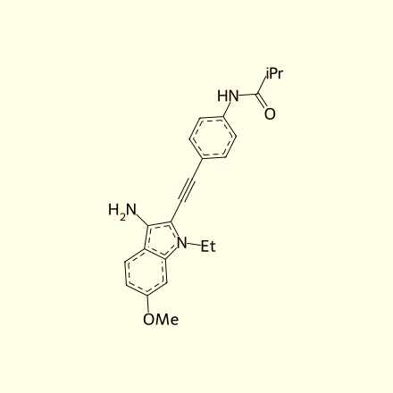 CCn1c(C#Cc2ccc(NC(=O)C(C)C)cc2)c(N)c2ccc(OC)cc21